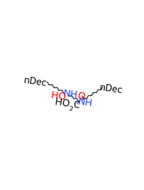 CCCCCCCCCCCCCCCCCC(=O)NC(CCCCN[C@H](O)CCCCCCCCCCCCCCCCC)C(=O)O